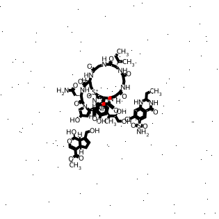 CCC(C)[C@@H]1NC(=O)CNC(=O)[C@@H]2Cc3c([nH]c4cc(O)ccc34)[S@+]([O-])C[C@H](NC(=O)CNC1=O)C(=O)N[C@@H](CC(N)=O)C(=O)N1CC(O)C[C@H]1C(=O)N[C@@H](C(C)[C@@H](O)CO)C(=O)N2.CCC1NC(=O)c2cc(S(N)(=O)=O)c(Cl)cc2N1.COC(=O)C1=CO[C@@H](O)[C@@H]2C(CO)=CC[C@H]12